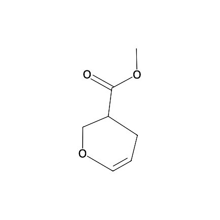 COC(=O)C1CC=COC1